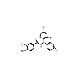 Cc1cc(C(=O)NC(c2ccc(Cl)cc2)c2ncc(Cl)cc2F)ccc1C#N